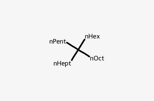 CCCCCCCCC(CCCCC)(CCCCCC)CCCCCCC